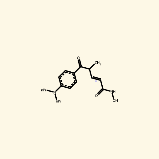 CCCN(CCC)c1ccc(C(=O)C(C)/C=C/C(=O)NO)cc1